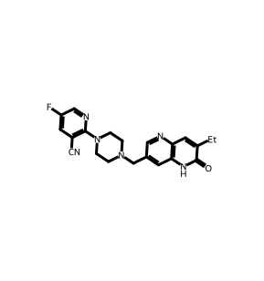 CCc1cc2ncc(CN3CCN(c4ncc(F)cc4C#N)CC3)cc2[nH]c1=O